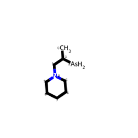 CC([AsH2])CN1CCCCC1